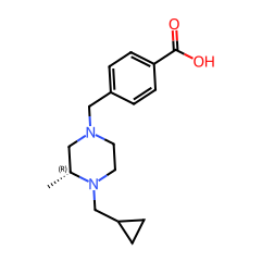 C[C@@H]1CN(Cc2ccc(C(=O)O)cc2)CCN1CC1CC1